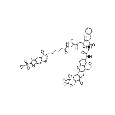 CC[C@@]1(O)C(=O)OCc2c1cc1n(c2=O)Cc2c-1nc1ccc(NC(=O)CNC(=O)[C@H](Cc3ccccc3)NC(=O)CNC(=O)CNC(=O)CCCCCNC(=O)c3cc4sc(S(=O)(=O)C5CC5)nc4cc3F)c3c1c2CCO3